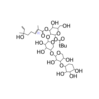 C=CC(C)(O)CC/C=C(\C)C(=O)OC1C(O)C(CO)OC(OC(=O)C(C)(C)C)C1OC1OCC(OC2OCC(O)C(OC3CCC(O)C(O)C3O)C2O)C(O)C1O